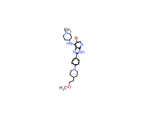 COCCC1CCN(c2ccc(-c3nc4c(NC5CCN(C)CC5)c(Br)cnc4[nH]3)cc2)CC1